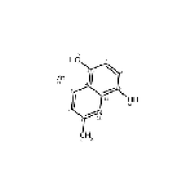 Cc1ccc2c(O)ccc(O)c2n1.[Zn]